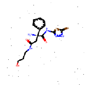 N[C@](CC(=O)NCCCO)(C(=O)Nc1n[nH]c(=S)s1)c1ccccc1